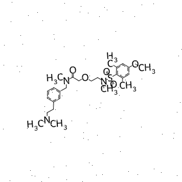 COc1cc(C)c(S(=O)(=O)N(C)CCOCC(=O)N(C)Cc2cccc(CCN(C)C)c2)c(C)c1